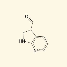 O=CC1CNc2ncccc21